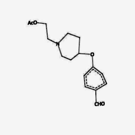 CC(=O)OCCN1CCC(Oc2ccc(C=O)cc2)CC1